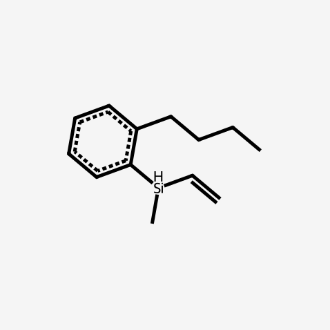 C=C[SiH](C)c1ccccc1CCCC